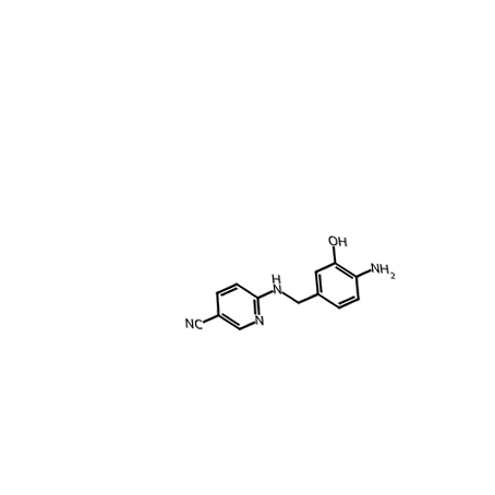 N#Cc1ccc(NCc2ccc(N)c(O)c2)nc1